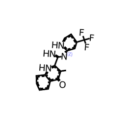 Cc1c(C(=N)/N=c2/cc(C(F)(F)F)cc[nH]2)[nH]c2ccccc2c1=O